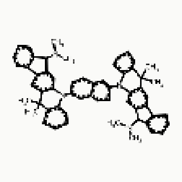 CN(C)C1c2ccccc2-c2cc3c(cc21)N(c1ccc2cc(N4c5ccccc5C(C)(C)c5cc6c(cc54)C(N(C)C)c4ccccc4-6)ccc2c1)c1ccccc1C3(C)C